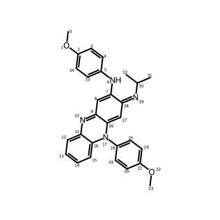 COc1ccc(Nc2cc3nc4ccccc4n(-c4ccc(OC)cc4)c-3c/c2=N/C(C)C)cc1